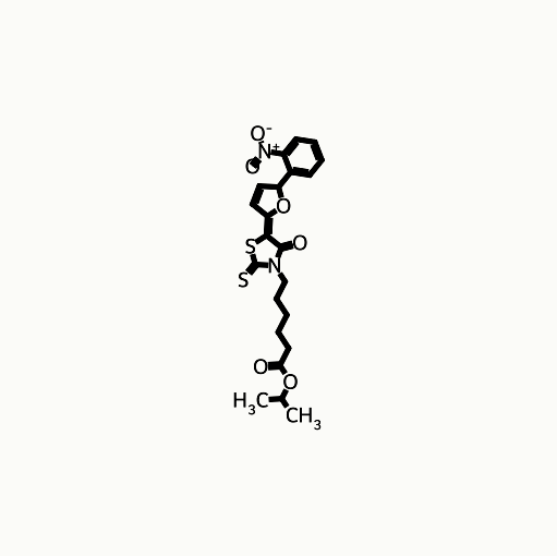 CC(C)OC(=O)CCCCCN1C(=O)C(=C2C=CC(c3ccccc3[N+](=O)[O-])O2)SC1=S